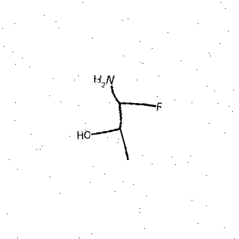 CC(O)C(N)F